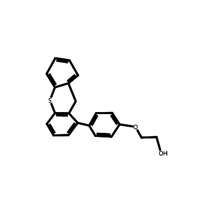 OCCOc1ccc(-c2cccc3c2Cc2ccccc2S3)cc1